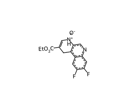 CCOC(=O)C1=C[NH+]([O-])c2cnc3cc(F)c(F)cc3c2C1